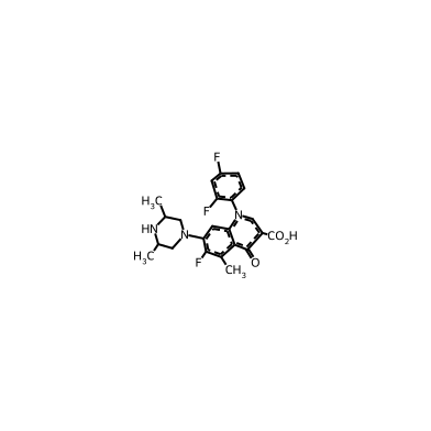 Cc1c(F)c(N2CC(C)NC(C)C2)cc2c1c(=O)c(C(=O)O)cn2-c1ccc(F)cc1F